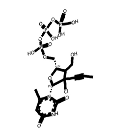 CC#CC1(Cl)C(CO)[C@@H](COP(=O)(O)OP(=O)(O)OP(=O)(O)O)O[C@H]1n1c(C)cc(=O)[nH]c1=O